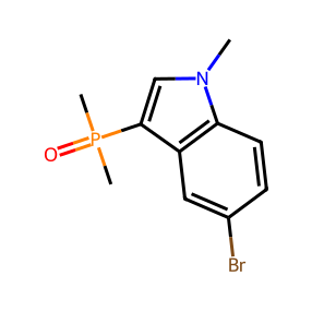 Cn1cc(P(C)(C)=O)c2cc(Br)ccc21